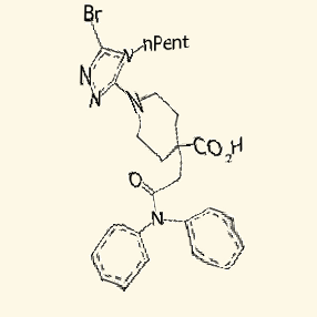 CCCCCn1c(Br)nnc1N1CCC(CC(=O)N(c2ccccc2)c2ccccc2)(C(=O)O)CC1